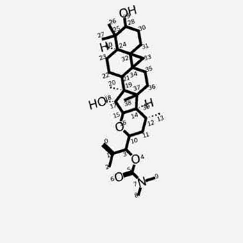 C=C(C)C(OC(=O)N(C)C)C1C[C@@H](C)[C@H]2C(O1)[C@H](O)[C@@]1(C)C3CC[C@H]4C(C)(C)C(O)CCC45CC35CCC21C